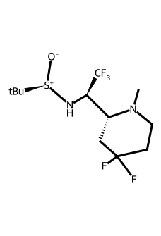 CN1CCC(F)(F)C[C@@H]1[C@@H](N[S@+]([O-])C(C)(C)C)C(F)(F)F